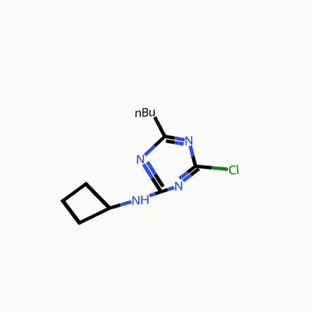 CCCCc1nc(Cl)nc(NC2CCC2)n1